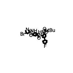 CC(C)(C)OC(=O)Nc1ccc(-c2ccc(F)cc2)cc1NC(=O)c1ccc(S(=N)(=O)c2cncc(Br)c2)cc1